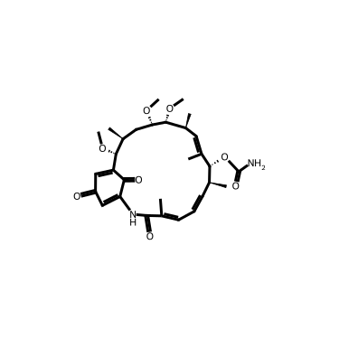 CO[C@H]1[C@@H](OC)C[C@H](C)[C@@H](OC)C2=CC(=O)C=C(NC(=O)/C(C)=C/C=C\[C@H](C)[C@@H](OC(N)=O)/C(C)=C/[C@@H]1C)C2=O